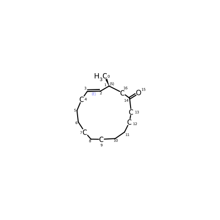 C[C@@H]1/C=C/CCCCCCCCCCC(=O)C1